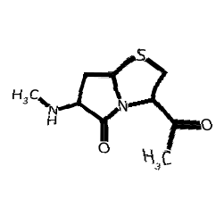 CNC1CC2SCC(C(C)=O)N2C1=O